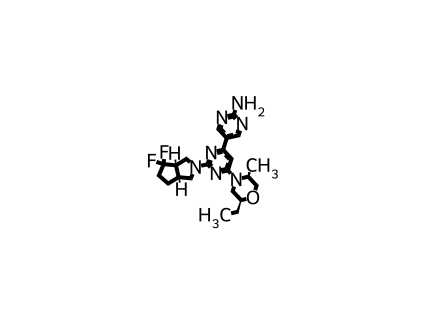 CC[C@H]1CN(c2cc(-c3cnc(N)nc3)nc(N3C[C@H]4CCC(F)(F)[C@H]4C3)n2)[C@@H](C)CO1